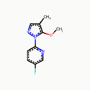 COc1c(C)cnn1-c1ccc(F)cn1